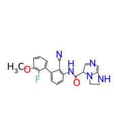 COc1cccc(-c2cccc(NC(=O)C3C=NC=C4NCCN43)c2C#N)c1F